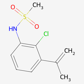 C=C(C)c1cccc(NS(C)(=O)=O)c1Cl